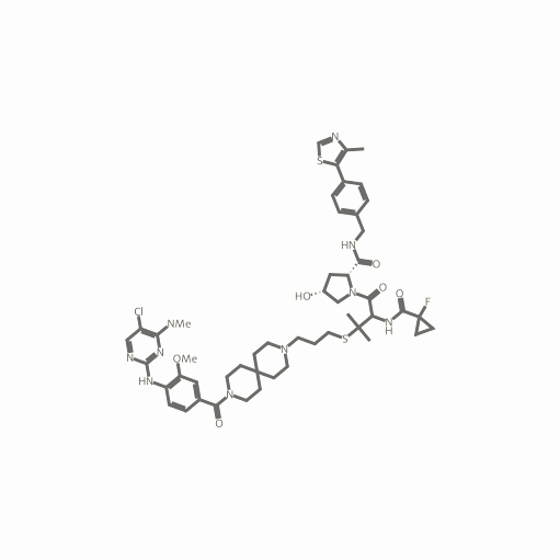 CNc1nc(Nc2ccc(C(=O)N3CCC4(CCN(CCCSC(C)(C)C(NC(=O)C5(F)CC5)C(=O)N5C[C@H](O)C[C@@H]5C(=O)NCc5ccc(-c6scnc6C)cc5)CC4)CC3)cc2OC)ncc1Cl